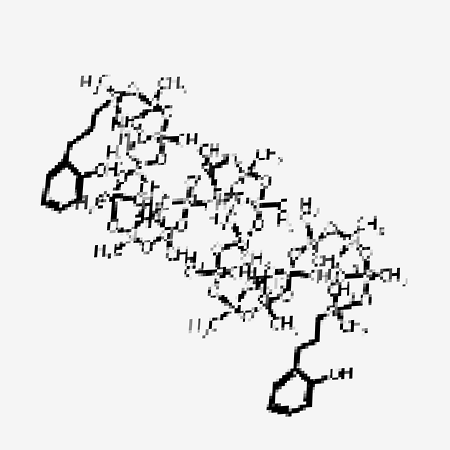 C[Si](C)(CCCc1ccccc1O)O[Si](C)(C)O[Si](C)(C)O[Si](C)(C)O[Si](C)(C)O[Si](C)(C)O[Si](C)(C)O[Si](C)(C)O[Si](C)(C)O[Si](C)(C)O[Si](C)(C)O[Si](C)(C)O[Si](C)(C)O[Si](C)(C)O[Si](C)(C)O[Si](C)(C)O[Si](C)(C)O[Si](C)(C)O[Si](C)(C)O[Si](C)(C)CCCc1ccccc1O